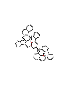 c1cc(-c2ccccc2N(c2cccc3ccccc23)c2cccc3c2sc2ccccc23)cc(N(c2cccc3ccccc23)c2cccc3c2sc2ccccc23)c1